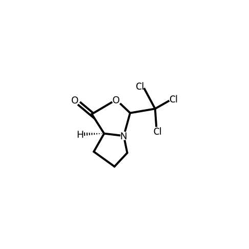 O=C1OC(C(Cl)(Cl)Cl)N2CCC[C@@H]12